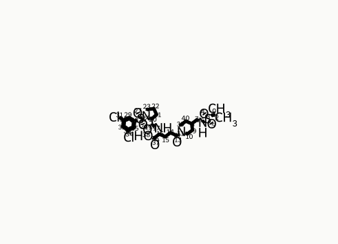 CC(C)S(=O)(=O)NCC1CCN(C(=O)CCC(NC(=O)[C@@H]2CCCN2S(=O)(=O)c2cc(Cl)cc(Cl)c2)C(=O)O)CC1